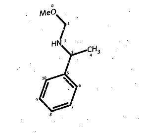 COCNC(C)c1ccccc1